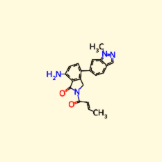 C/C=C/C(=O)N1Cc2c(-c3ccc4cnn(C)c4c3)ccc(N)c2C1=O